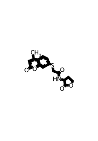 Cc1cc(=O)oc2cc(SCC(=O)NC3CCOC3=O)ccc12